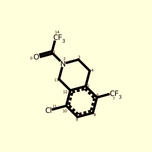 O=C(N1CCc2c(C(F)(F)F)ccc(Cl)c2C1)C(F)(F)F